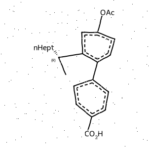 CCCCCCC[C@@H](C)c1cc(OC(C)=O)ccc1-c1ccc(C(=O)O)cc1